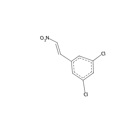 O=[N+]([O-])C=Cc1cc(Cl)cc(Cl)c1